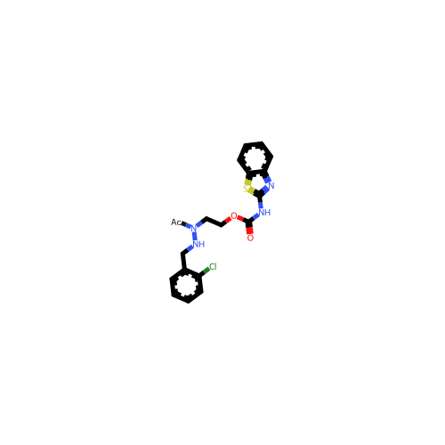 CC(=O)N(CCOC(=O)Nc1nc2ccccc2s1)NCc1ccccc1Cl